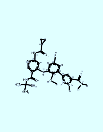 BC(B)(B)NC(=O)c1cnc(NC(=O)C2CC2)cc1Nc1cc(F)cc(-c2cc(C(=O)N(C)C)n(C)n2)c1OC